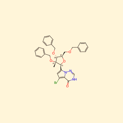 C[C@@]1(OCc2ccccc2)[C@H](OCc2ccccc2)[C@@H](COCc2ccccc2)O[C@H]1c1cc(Br)c2c(=O)[nH]cnn12